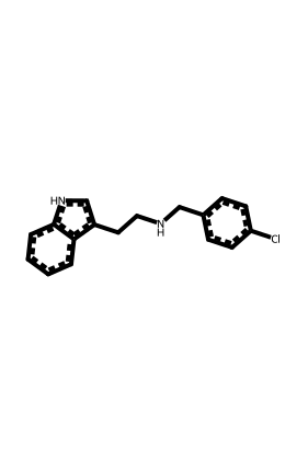 Clc1ccc(CNCCc2c[nH]c3ccccc23)cc1